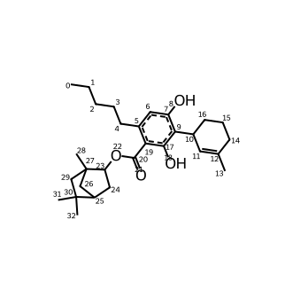 CCCCCc1cc(O)c(C2C=C(C)CCC2)c(O)c1C(=O)OC1CC2CC1(C)CC2(C)C